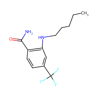 CCCCCNc1cc(C(F)(F)F)ccc1C(N)=O